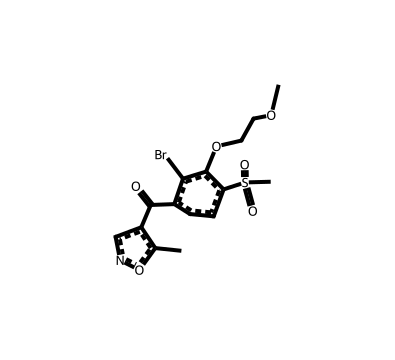 COCCOc1c(S(C)(=O)=O)ccc(C(=O)c2cnoc2C)c1Br